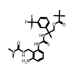 CN(C)C(=O)NCc1c(N)cccc1NC(=S)NC(C)(COC(=O)C(C)(C)C)c1cccc(C(F)(F)F)c1